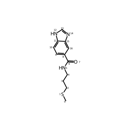 CSCCCNC(=O)c1ccc2[nH]cnc2c1